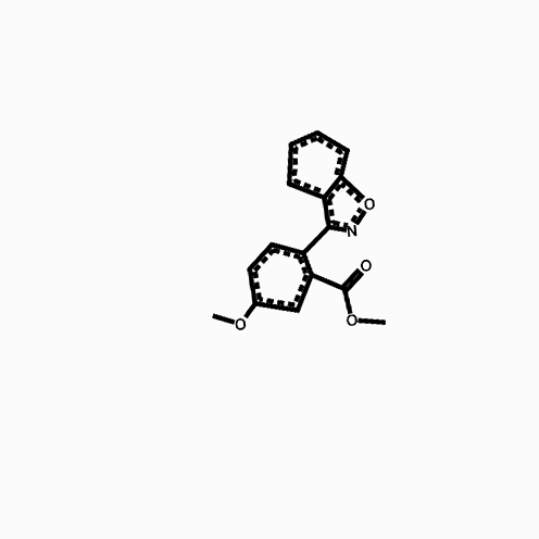 COC(=O)c1cc(OC)ccc1-c1noc2ccccc12